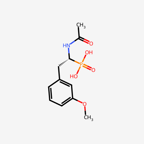 COc1cccc(C[C@H](NC(C)=O)P(=O)(O)O)c1